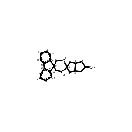 O=C1CC2CC3(CC2C1)OCC1(CO3)c2ccccc2-c2ccccc21